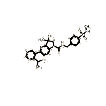 CNS(=O)(=O)c1ccc(CNC(=O)N2CC(C)(C)c3nc(-c4cncnc4C(C)C)ccc32)cc1